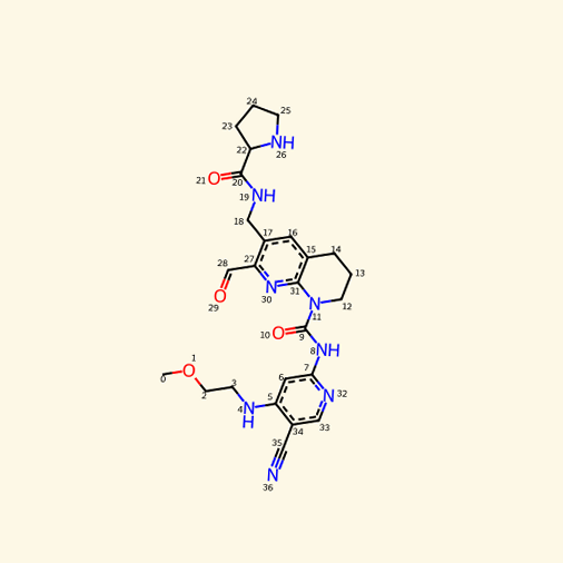 COCCNc1cc(NC(=O)N2CCCc3cc(CNC(=O)C4CCCN4)c(C=O)nc32)ncc1C#N